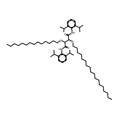 CCCCCCCCCCCCCCCCCCSC(C(=O)Nc1c(C(C)C)cccc1C(C)C)C(SCCCCCCCCCCCCCC)C(=O)Nc1c(C(C)C)cccc1C(C)C